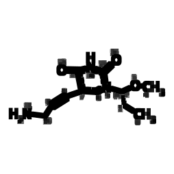 CC[C@@H](OC)n1cc(C#CCN)c(=O)[nH]c1=O